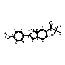 COc1ccc(-c2cc3ccc(C(=O)C(C)(C)C)cc3[nH]2)cc1